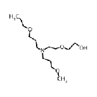 CCCOCCCN(CCCOC)CCOCCO